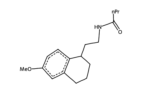 CCCC(=O)NCCC1CCCc2cc(OC)ccc21